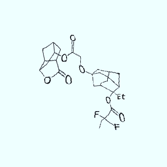 CCC1(OC(=O)C(C)(F)F)C2CC3CC1CC(OCC(=O)OC1C4CC5C(=O)OC1C5C4)(C3)C2